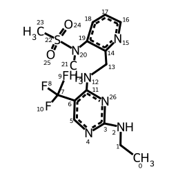 CCNc1ncc(C(F)(F)F)c(NCc2ncccc2N(C)S(C)(=O)=O)n1